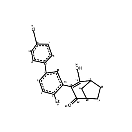 CCc1ccc(-c2ccc(Cl)cc2)cc1C1=C(O)C2CCC(C2)C1=O